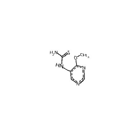 COc1ncncc1NC(N)=S